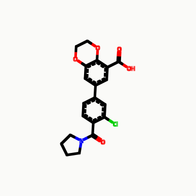 O=C(O)c1cc(-c2ccc(C(=O)N3CCCC3)c(Cl)c2)cc2c1OCCO2